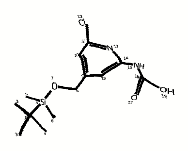 CC(C)(C)[Si](C)(C)OCc1cc(Cl)nc(NC(=O)O)c1